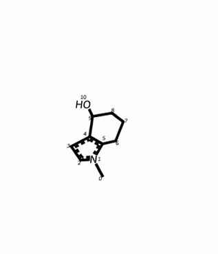 Cn1ccc2c1CCCC2O